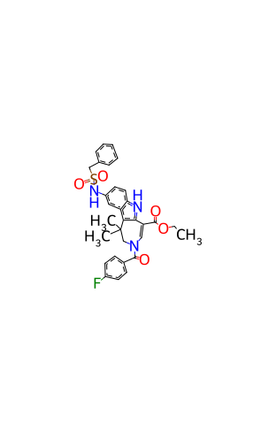 CCOC(=O)C1=CN(C(=O)c2ccc(F)cc2)CC(C)(C)c2c1[nH]c1ccc(NS(=O)(=O)Cc3ccccc3)cc21